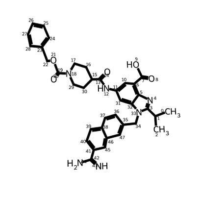 CC(C)c1nc2c(C(=O)O)cc(NC(=O)C3CCN(C(=O)OCc4ccccc4)CC3)cc2n1Cc1ccc2ccc(C(=N)N)cc2c1